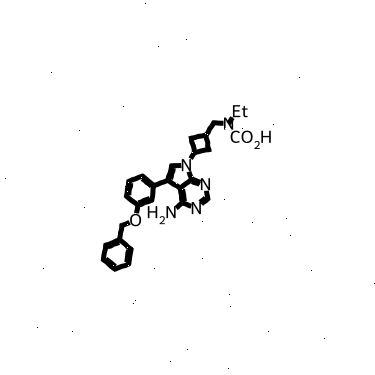 [CH2]CN(CC1CC(n2cc(-c3cccc(OCc4ccccc4)c3)c3c(N)ncnc32)C1)C(=O)O